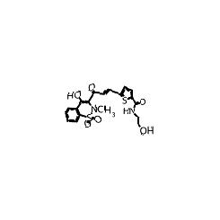 CN1C(C(=O)C=Cc2ccc(C(=O)NCCO)s2)=C(O)c2ccccc2S1(=O)=O